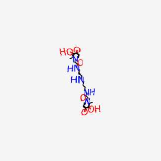 Cc1c(O)c(=O)ccn1CC(=O)NCCCCNCCCNC(=O)Cn1ccc(=O)c(O)c1C